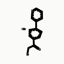 Br.O=C(CBr)c1ccc(-c2cccnc2)cc1